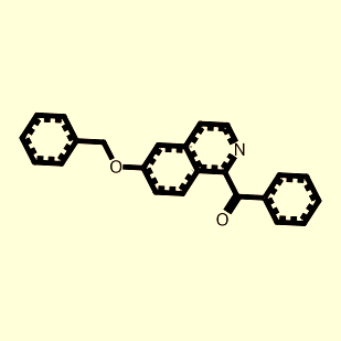 O=C(c1ccccc1)c1nccc2cc(OCc3ccccc3)ccc12